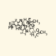 CC(C)O[C@@H]1CC[C@H](N2CC[C@H](Nc3ncnc4ccc(C(F)(F)F)cc34)C2=O)[C@H](CS(=O)(=O)C(C)C)C1